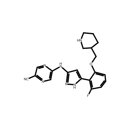 N#Cc1cnc(Nc2cc(-c3c(F)cccc3OCC3CCCNC3)[nH]n2)cn1